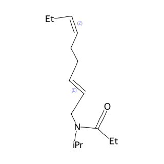 CC/C=C\CC/C=C/CN(C(=O)CC)C(C)C